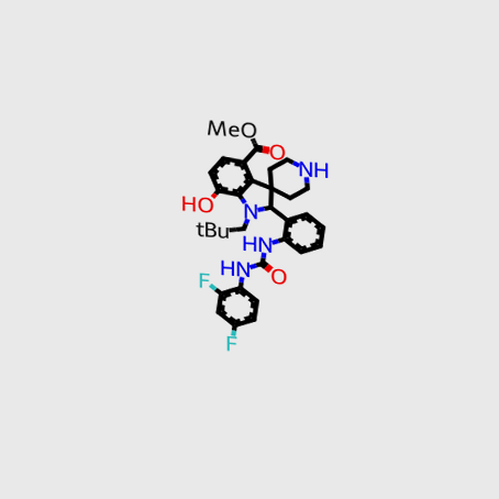 COC(=O)c1ccc(O)c2c1C1(CCNCC1)C(c1ccccc1NC(=O)Nc1ccc(F)cc1F)N2CC(C)(C)C